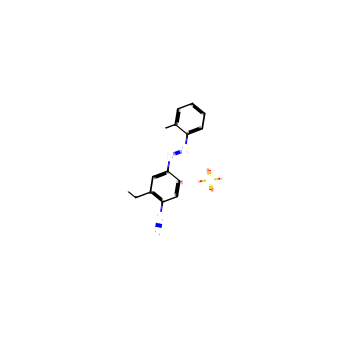 CCc1cc(N=Nc2ccccc2C)ccc1[N+]#N.O=S(=O)([O-])O